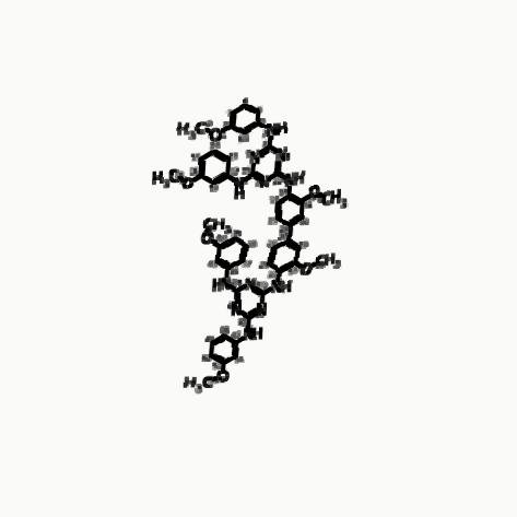 COc1cccc(Nc2nc(Nc3cccc(OC)c3)nc(Nc3ccc(-c4ccc(Nc5nc(Nc6cccc(OC)c6)nc(Nc6cccc(OC)c6)n5)c(OC)c4)cc3OC)n2)c1